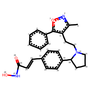 Cc1noc(-c2ccccc2)c1CCN1CCCC1c1ccc(/C=C/C(=O)NO)cc1